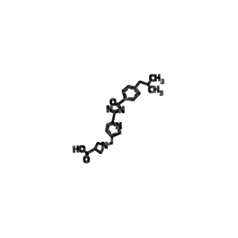 CC(C)Cc1ccc(-c2nc(-c3ccc(CN4CC(C(=O)O)C4)cn3)no2)cc1